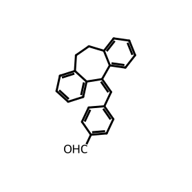 O=Cc1ccc(C=C2c3ccccc3CCc3ccccc32)cc1